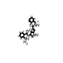 C[C@H](NC(=O)c1cc2[nH]nc(NC(=O)c3ccccc3N)c2o1)c1ccccc1